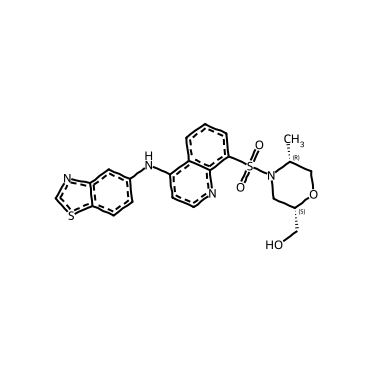 C[C@@H]1CO[C@H](CO)CN1S(=O)(=O)c1cccc2c(Nc3ccc4scnc4c3)ccnc12